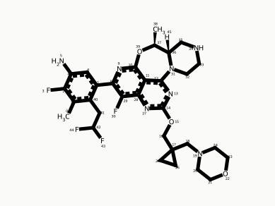 Cc1c(F)c(N)cc(-c2nc3c4c(nc(OCC5(CN6CCOCC6)CC5)nc4c2F)N2CCNC[C@H]2[C@H](C)O3)c1CC(F)F